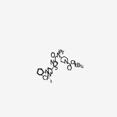 CC(C)N(C(=O)c1csc(-c2cnn(-c3ccccc3C(F)(F)F)c2)n1)C1CCN(C(=O)OC(C)(C)C)CC1